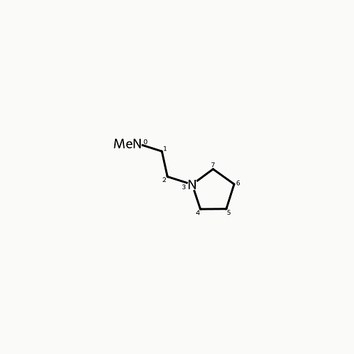 [CH2-][NH2+]CCN1CCCC1